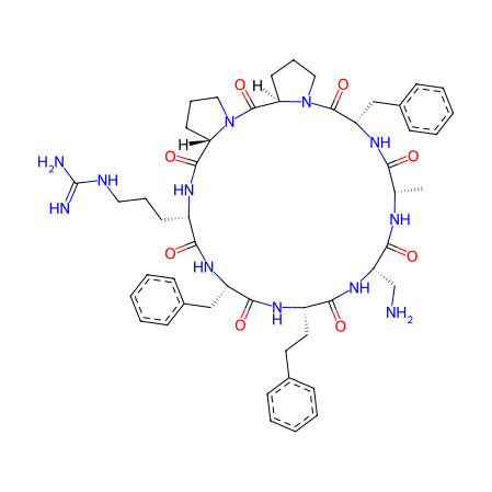 C[C@@H]1NC(=O)[C@H](CN)NC(=O)[C@H](CCc2ccccc2)NC(=O)[C@H](Cc2ccccc2)NC(=O)[C@H](CCCNC(=N)N)NC(=O)[C@@H]2CCCN2C(=O)[C@H]2CCCN2C(=O)[C@H](Cc2ccccc2)NC1=O